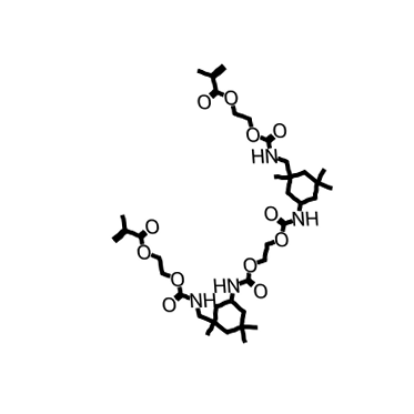 C=C(C)C(=O)OCCOC(=O)NCC1(C)CC(NC(=O)OCCOC(=O)NC2CC(C)(C)CC(C)(CNC(=O)OCCOC(=O)C(=C)C)C2)CC(C)(C)C1